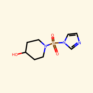 O=S(=O)(N1CCC(O)CC1)n1ccnc1